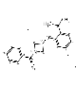 CC(C)c1ccccc1OC1CN(C(=O)c2ccccc2)C1